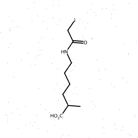 CC(CCCCNC(=O)CI)C(=O)O